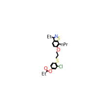 CCCc1c(OCCCSc2ccc(OC(=O)CC)cc2Cl)ccc2c(CC)nsc12